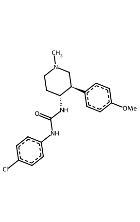 COc1ccc([C@@H]2CN(C)CC[C@H]2NC(=O)Nc2ccc(Cl)cc2)cc1